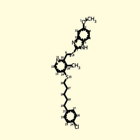 COc1ccc2[nH]c(SCc3nccc(SCCCCCc4ccc(Cl)cc4)c3C)nc2c1